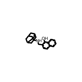 Oc1c(CNC23CC4CC(CC(C4)C2)C3)ccc2ccccc12